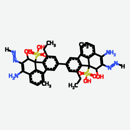 [H]/N=N/C1=C(N)c2ccccc2C(c2c(CC)cc(-c3cc(CC)c(C4(S(=O)(=O)O)c5ccccc5C(N)=C(/N=N/[H])C4O)c(CC)c3)cc2CC)(S(=O)(=O)O)C1O